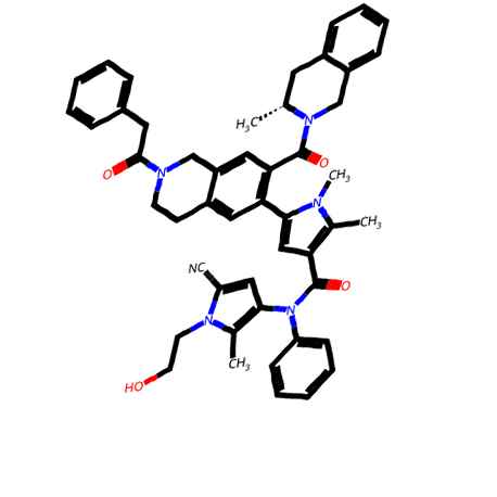 Cc1c(C(=O)N(c2ccccc2)c2cc(C#N)n(CCO)c2C)cc(-c2cc3c(cc2C(=O)N2Cc4ccccc4C[C@H]2C)CN(C(=O)Cc2ccccc2)CC3)n1C